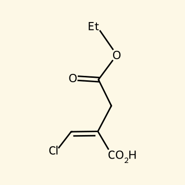 CCOC(=O)CC(=CCl)C(=O)O